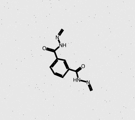 C=NNC(=O)c1cccc(C(=O)NN=C)c1